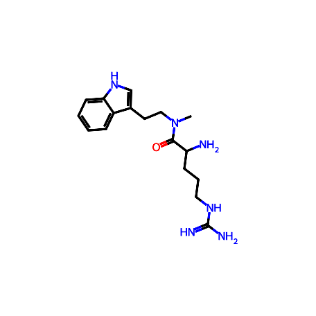 CN(CCc1c[nH]c2ccccc12)C(=O)C(N)CCCNC(=N)N